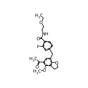 CCOCCNC(=O)c1ccc(Cc2cc(C(C)=O)c(OC)c3c2OCC3)cc1F